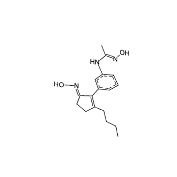 CCCCC1=C(c2cccc(NC(C)=NO)c2)C(=NO)CC1